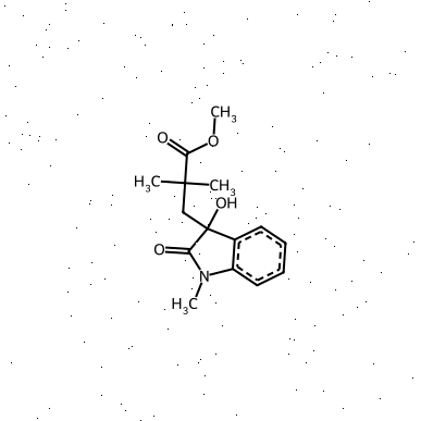 COC(=O)C(C)(C)CC1(O)C(=O)N(C)c2ccccc21